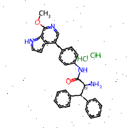 COc1ncc(-c2ccc(NC(=O)[C@@H](N)C(c3ccccc3)c3ccccc3)cc2)c2cc[nH]c12.Cl.Cl